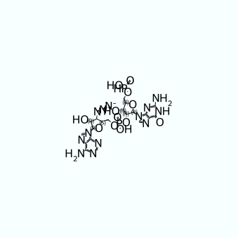 [N-]=[N+]=NC1[C@@H](O)[C@H](n2cnc3c(N)ncnc32)O[C@@H]1COP(=O)(O)O[C@@H]1[C@H](O)[C@@H](CO[PH](=O)O)O[C@H]1n1cnc2c(=O)[nH]c(N)nc21